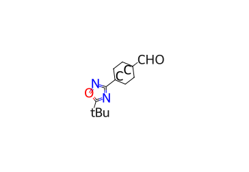 CC(C)(C)c1nc(C23CCC(C=O)(CC2)CC3)no1